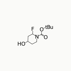 CC(C)(C)OC(=O)N1CCC(O)CC1F